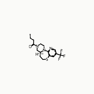 CCCC(=O)N1CCN2c3ncc(C(F)(F)F)cc3SCC[C@H]2C1